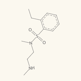 CCc1ccccc1S(=O)(=O)N(C)CCNC